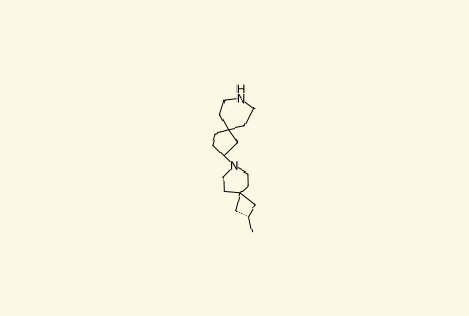 CC1CC2(CCN(C3CCC4(CCNCC4)C3)CC2)C1